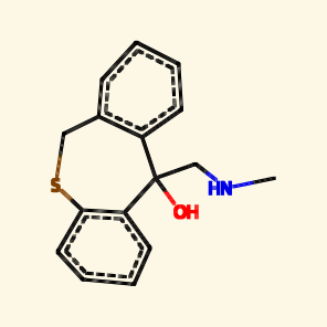 CNCC1(O)c2ccccc2CSc2ccccc21